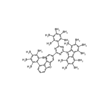 Bc1c(B)c(B)c(-c2nc(-c3ccc4c(c3)oc3cccc(-c5c(B)c(B)c(B)c(B)c5B)c34)nc(-n3c4c(B)c(B)c(B)c(B)c4c4c(B)c(B)c(B)c(B)c43)n2)c(B)c1B